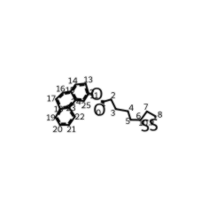 O=C(CCCCC1CCSS1)Oc1ccc2ccc3ccccc3c2c1